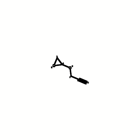 C#CCOC1CO1